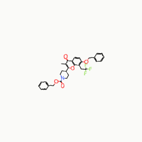 Cc1c(C2CCN(C(=O)OCc3ccccc3)CC2)oc2c(CC(F)(F)F)c(OCc3ccccc3)ccc2c1=O